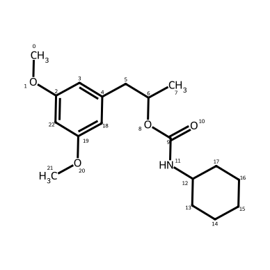 COc1cc(CC(C)OC(=O)NC2CCCCC2)cc(OC)c1